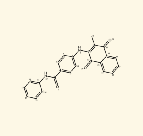 CC1=C(Nc2ccc(C(=O)Nc3ccccn3)cc2)C(=O)c2ccccc2C1=O